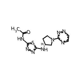 CC(=O)Nc1nnc(N[C@@H]2CCN(c3nccnn3)C2)s1